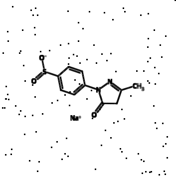 CC1=NN(c2ccc(S(=O)[O-])cc2)C(=O)C1.[Na+]